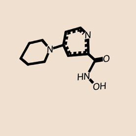 O=C(NO)c1cc(N2CCCCC2)ccn1